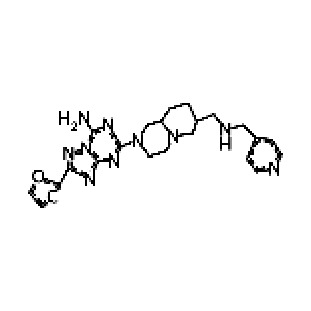 Nc1nc(N2CCN3CC(CNCc4ccncc4)CCC3C2)nc2nc(-c3ccco3)nn12